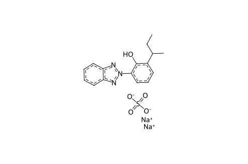 CCC(C)c1cccc(-n2nc3ccccc3n2)c1O.O=S(=O)([O-])[O-].[Na+].[Na+]